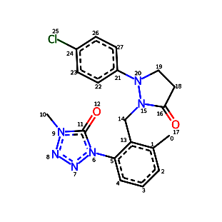 Cc1cccc(-n2nnn(C)c2=O)c1CN1C(=O)CCN1c1ccc(Cl)cc1